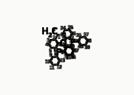 C=C1c2cccc(P(c3ccccc3)c3ccccc3)c2Oc2c1cccc2P(c1ccccc1)c1ccccc1